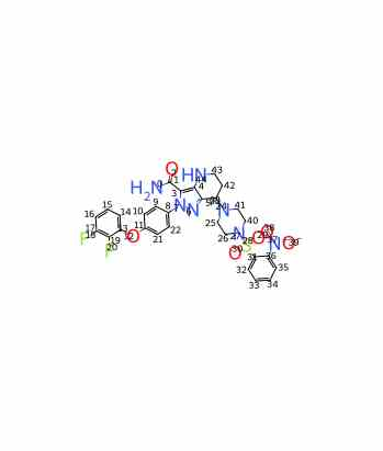 NC(=O)c1c2c(nn1-c1ccc(Oc3cccc(F)c3F)cc1)[C@H](N1CCN(S(=O)(=O)c3ccccc3[N+](=O)[O-])CC1)CCN2